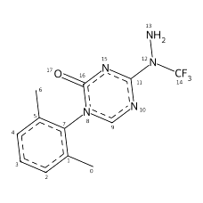 Cc1cccc(C)c1-n1cnc(N(N)C(F)(F)F)nc1=O